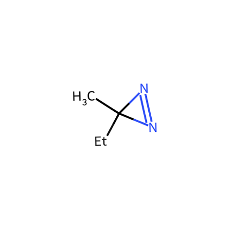 CCC1(C)N=N1